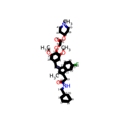 COc1cc(/C=C2/C(C)=C(CC(=O)NCc3ccccc3)c3cc(F)ccc32)cc(OC)c1OCC(=O)OC1CCN(C)CC1